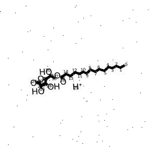 CCCCCCCCCCCCCCCC(=O)OC[C@H](O)[C@H]1OC(=O)C(O)=C1O.[H+]